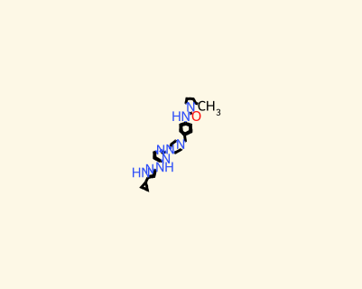 CC1CCCN1C(=O)Nc1ccc(CN2CCN(c3nccc(Nc4cc(C5CC5)[nH]n4)n3)CC2)cc1